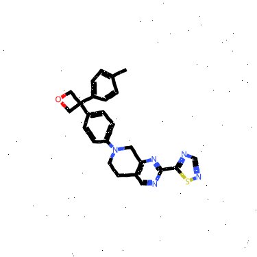 Cc1ccc(C2(c3ccc(N4CCc5cnc(-c6ncns6)nc5C4)cc3)COC2)cc1